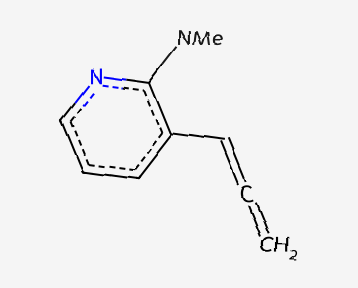 C=C=Cc1cccnc1NC